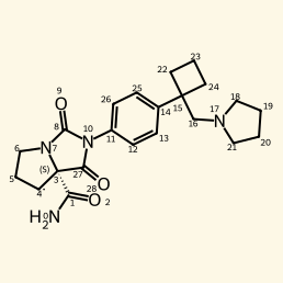 NC(=O)[C@]12[CH]CCN1C(=O)N(c1ccc(C3(CN4CCCC4)CCC3)cc1)C2=O